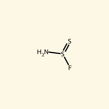 NS(F)=S